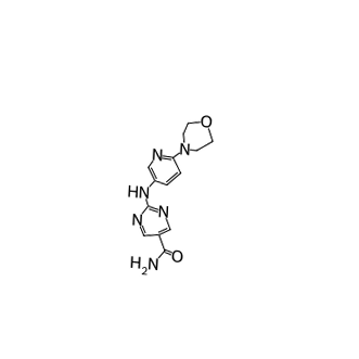 NC(=O)c1cnc(Nc2ccc(N3CCOCC3)nc2)nc1